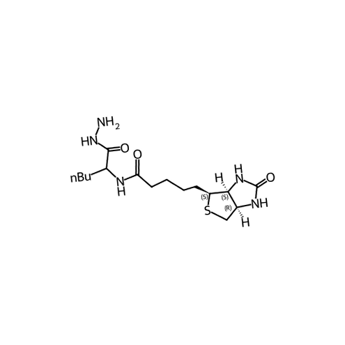 CCCCC(NC(=O)CCCC[C@@H]1SC[C@@H]2NC(=O)N[C@@H]21)C(=O)NN